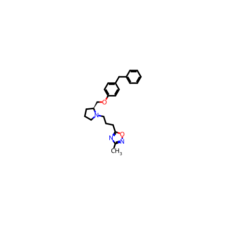 Cc1noc(CCCN2CCC[C@H]2COc2ccc(Cc3ccccc3)cc2)n1